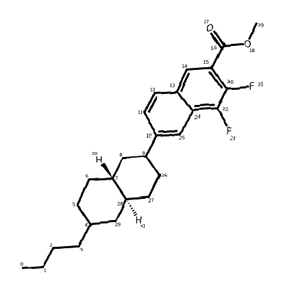 CCCCC1CC[C@@H]2CC(c3ccc4cc(C(=O)OC)c(F)c(F)c4c3)CC[C@H]2C1